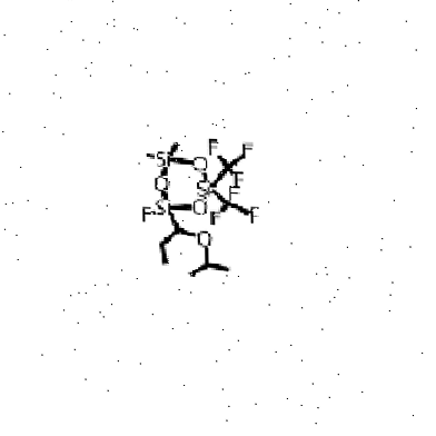 CCC(OC(C)C)[Si]1(F)O[Si](C)(C)O[Si](C(F)(F)F)(C(F)(F)F)O1